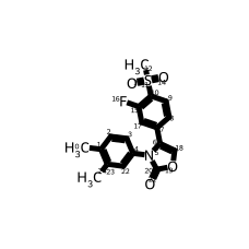 Cc1ccc(-n2c(-c3ccc(S(C)(=O)=O)c(F)c3)coc2=O)cc1C